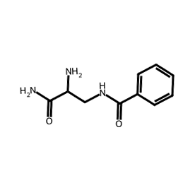 NC(=O)C(N)CNC(=O)c1ccccc1